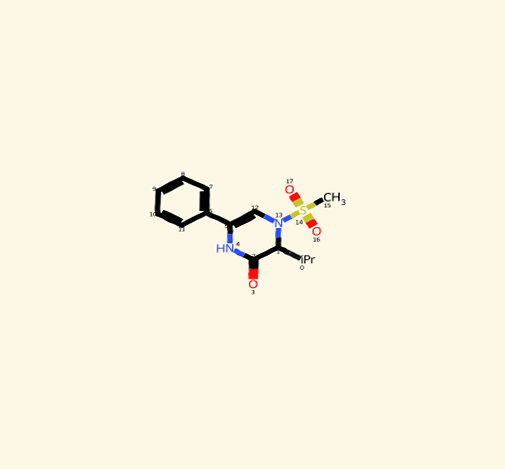 CC(C)C1C(=O)NC(c2ccccc2)=CN1S(C)(=O)=O